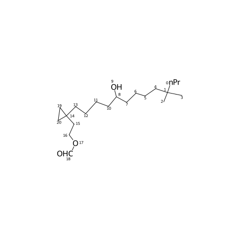 CCCC(C)(C)CCCCC(O)CCCCC1(CCOC=O)CC1